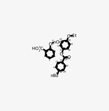 CCCCCCCCOc1ccccc1C(=O)O.CCCCc1ccc(C(=O)Oc2ccc(OCC)cc2)cc1